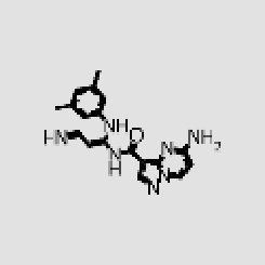 Cc1cc(C)cc(N/C(=C\C=N)NC(=O)c2cnn3ccc(N)nc23)c1